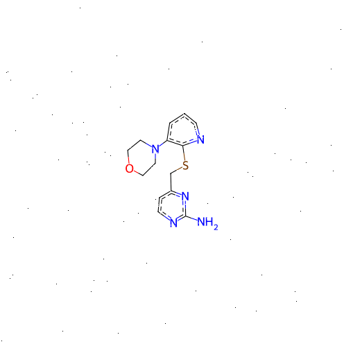 Nc1nccc(CSc2ncccc2N2CCOCC2)n1